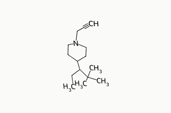 C#CCN1CCC(C(CC)C(C)(C)C)CC1